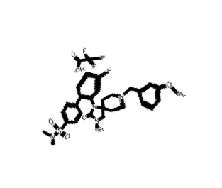 CCCN1CC2(CCN(Cc3cccc(OC(C)C)c3)CC2)N(c2cc(F)ccc2-c2ccc(S(=O)(=O)N(C)C)cc2)C1=O.O=C(O)C(F)(F)F